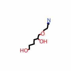 N#CCCOCC(O)CCCCO